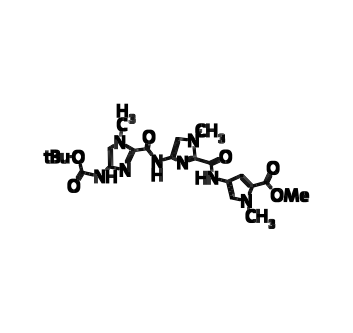 COC(=O)c1cc(NC(=O)c2nc(NC(=O)c3nc(NC(=O)OC(C)(C)C)cn3C)cn2C)cn1C